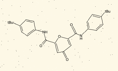 CC(C)(C)c1ccc(NC(=O)c2cc(=O)cc(C(=O)Nc3ccc(C(C)(C)C)cc3)o2)cc1